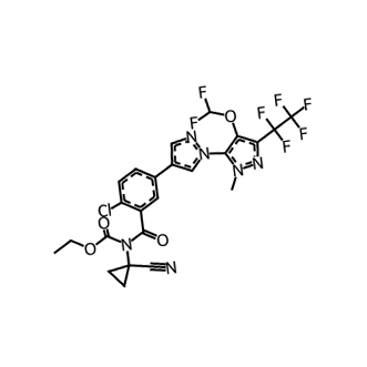 CCOC(=O)N(C(=O)c1cc(-c2cnn(-c3c(OC(F)F)c(C(F)(F)C(F)(F)F)nn3C)c2)ccc1Cl)C1(C#N)CC1